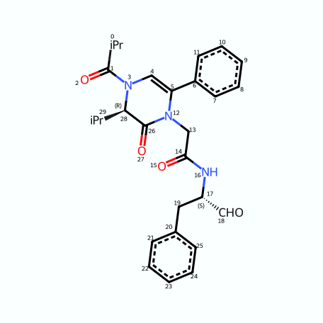 CC(C)C(=O)N1C=C(c2ccccc2)N(CC(=O)N[C@H](C=O)Cc2ccccc2)C(=O)[C@H]1C(C)C